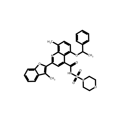 Cc1c(-c2cc(C(=O)NS(=O)(=O)N3CCOCC3)c3c(OC(C)c4ccccc4)ccc(C)c3n2)oc2ccccc12